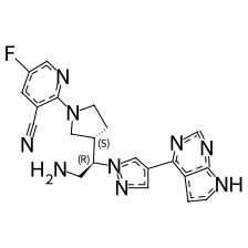 N#Cc1cc(F)cnc1N1CC[C@H]([C@H](CN)n2cc(-c3ncnc4[nH]ccc34)cn2)C1